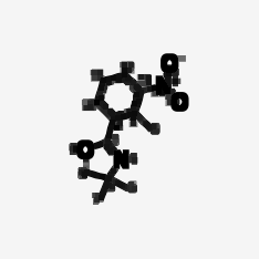 Cc1c(C2=NC(C)(C)CO2)cccc1[N+](=O)[O-]